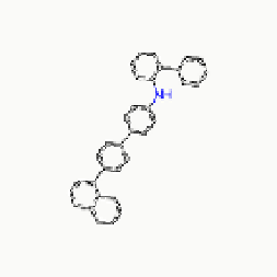 c1ccc(-c2ccccc2Nc2ccc(-c3ccc(-c4cccc5ccccc45)cc3)cc2)cc1